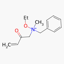 C=CC(=O)C[N+](C)(Cc1ccccc1)OCC